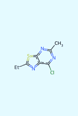 CCc1nc2c(Cl)nc(C)nc2s1